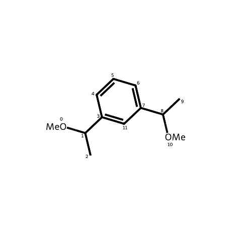 COC(C)c1cccc(C(C)OC)c1